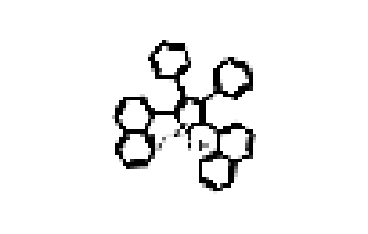 C[Si]1(C)C(c2cccc3ccccc23)=C(c2ccccc2)C(c2ccccc2)=C1c1cccc2ccccc12